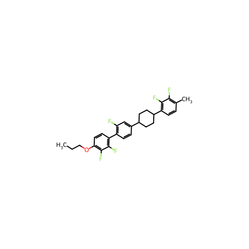 CCCOc1ccc(-c2ccc(C3CCC(c4ccc(C)c(F)c4F)CC3)cc2F)c(F)c1F